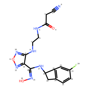 N#CCC(=O)NCCNc1nonc1/C(=N\O)NC1Cc2ccc(F)cc21